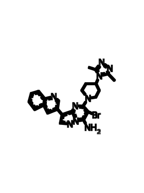 Cc1nnc(C)n1C1CCN(c2nc3c(-c4cnc5ccccc5c4)cnn3c(N)c2Br)CC1